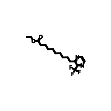 CCOC(=O)CCCCCCCCCc1nccnc1C(F)(F)F